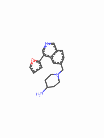 NC1CCN(Cc2ccc3cncc(-c4ccco4)c3c2)CC1